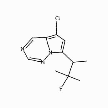 CC(c1cc(Cl)c2cncnn12)C(C)(C)F